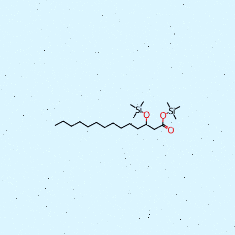 CCCCCCCCCCCC(CC(=O)O[Si](C)(C)C)O[Si](C)(C)C